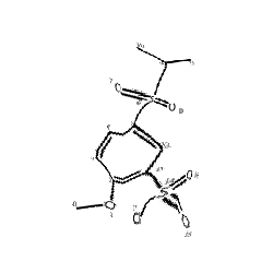 COc1ccc(S(=O)(=O)C(C)C)cc1S(=O)(=O)Cl